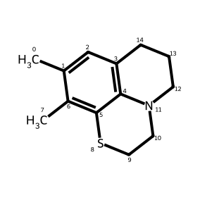 Cc1cc2c3c(c1C)SCCN3CCC2